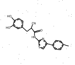 Cc1ccc(-c2csc(NC(=O)C(C#N)Cc3ccc(O)c(O)c3)n2)cc1